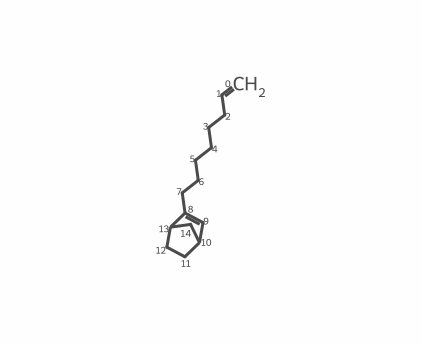 C=CCCCCCCC1=CC2CCC1C2